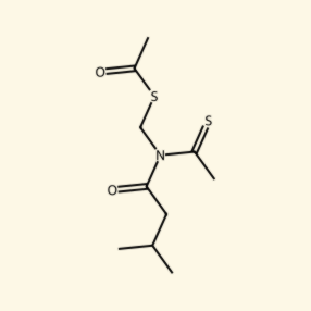 CC(=O)SCN(C(=O)CC(C)C)C(C)=S